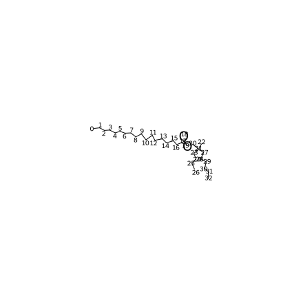 CCCCCCCCCCCCCCCCCC(=O)OCC(C)(CCCC)CCCCCC